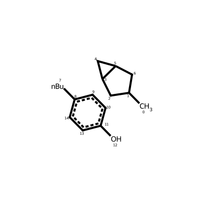 CC1CC2CC2C1.CCCCc1ccc(O)cc1